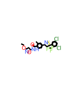 CCOC1=NOC(NC(=O)c2ccc(C3=NS[C@](c4cc(Cl)cc(Cl)c4)(C(F)(F)F)C3)cc2C)C1